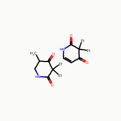 CCC1(CC)C(=O)C=CNC1=O.CCC1(CC)C(=O)NCC(C)C1=O